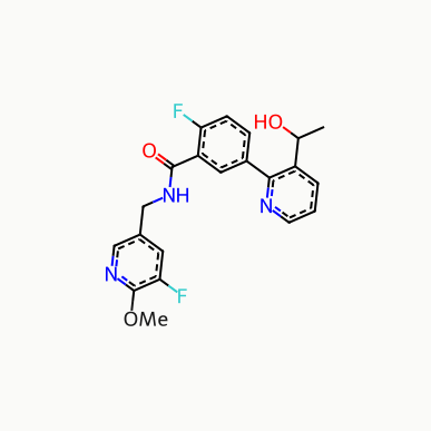 COc1ncc(CNC(=O)c2cc(-c3ncccc3C(C)O)ccc2F)cc1F